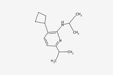 CC(C)Nc1nc(C(C)C)ccc1C1CCC1